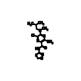 CC(C)CN(C)c1nc(N)c(C(=O)Nc2nncs2)nc1Cl